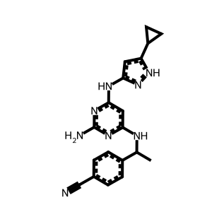 CC(Nc1cc(Nc2cc(C3CC3)[nH]n2)nc(N)n1)c1ccc(C#N)cc1